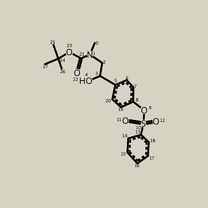 CN(CC(O)c1ccc(OS(=O)(=O)c2ccccc2)cc1)C(=O)OC(C)(C)C